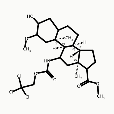 COC(=O)C1CC[C@H]2[C@@H]3CCC4CC(O)C(OC)C[C@]4(C)[C@@H]3C(NC(=O)OCC(Cl)(Cl)Cl)C[C@]12C